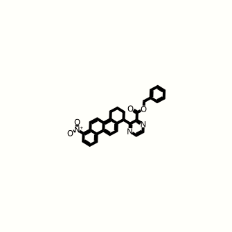 O=C(OCc1ccccc1)c1nccnc1C1CCCc2c1ccc1c2ccc2c([N+](=O)[O-])cccc21